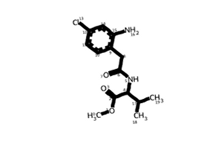 COC(=O)C(NC(=O)Cc1ccc(Cl)cc1N)C(C)C